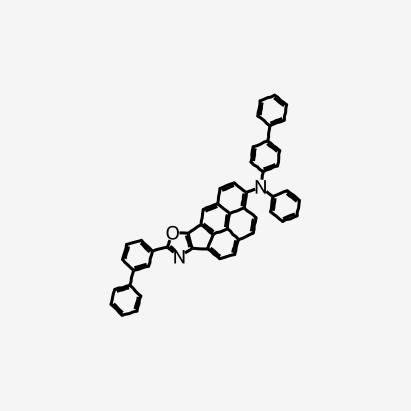 c1ccc(-c2ccc(N(c3ccccc3)c3ccc4cc5c6c(ccc7ccc3c4c76)-c3nc(-c4cccc(-c6ccccc6)c4)oc3-5)cc2)cc1